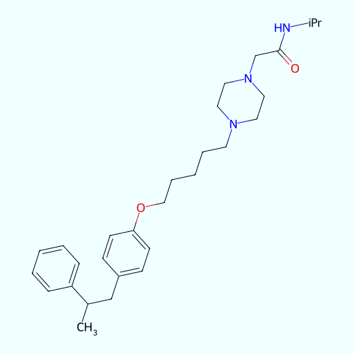 CC(C)NC(=O)CN1CCN(CCCCCOc2ccc(CC(C)c3ccccc3)cc2)CC1